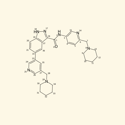 O=C(Nc1ccc(CN2CCCCC2)nc1)c1n[nH]c2ccc(-c3cncc(CN4CCCCC4)c3)cc12